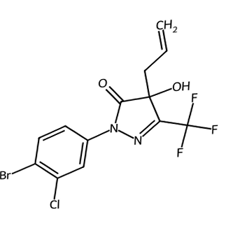 C=CCC1(O)C(=O)N(c2ccc(Br)c(Cl)c2)N=C1C(F)(F)F